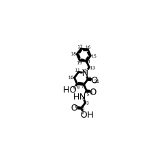 O=C(O)CNC(=O)C1=C(O)CCN(Cc2ccccc2)C1=O